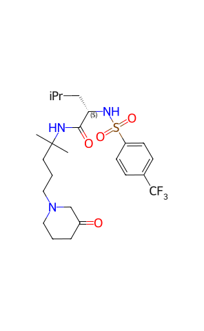 CC(C)C[C@H](NS(=O)(=O)c1ccc(C(F)(F)F)cc1)C(=O)NC(C)(C)CCCN1CCCC(=O)C1